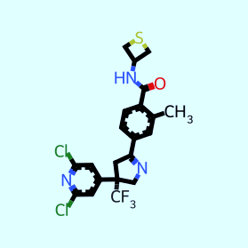 Cc1cc(C2=NCC(c3cc(Cl)nc(Cl)c3)(C(F)(F)F)C2)ccc1C(=O)NC1CSC1